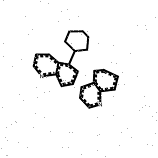 c1cc(C2CCCCC2)c2cccnc2c1.c1ccc2ncccc2c1